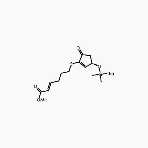 COC(=O)/C=C/CCCSC1=C[C@H](O[Si](C)(C)C(C)(C)C)CC1=O